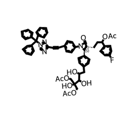 CC(=O)OCC(O)(COC(C)=O)C(O)C(O)Cc1ccc([C@@H]2[C@@H](CCC(OC(C)=O)c3ccc(F)cc3)C(=O)N2c2ccc(C#Cc3ncn(C(c4ccccc4)(c4ccccc4)c4ccccc4)n3)cc2)cc1